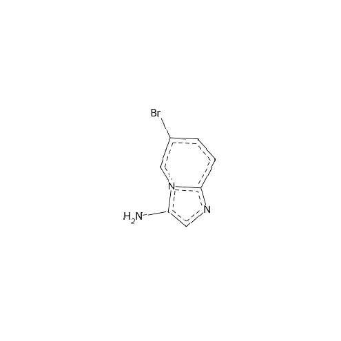 Nc1cnc2ccc(Br)cn12